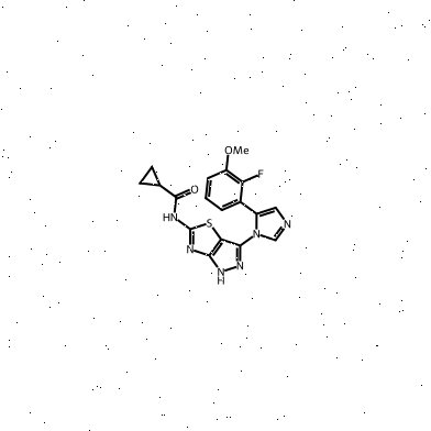 COc1cccc(-c2cncn2-c2n[nH]c3nc(NC(=O)C4CC4)sc23)c1F